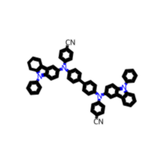 N#Cc1ccc(N(c2ccc(-c3ccc(N(c4ccc(C#N)cc4)c4ccc5c(c4)c4ccccc4n5-c4ccccc4)cc3)cc2)c2ccc3c(c2)c2c(n3-c3ccccc3)CCC=C2)cc1